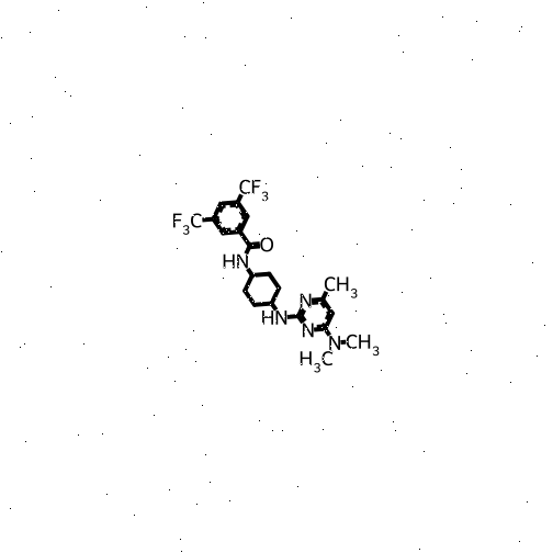 Cc1cc(N(C)C)nc(NC2CCC(NC(=O)c3cc(C(F)(F)F)cc(C(F)(F)F)c3)CC2)n1